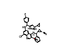 N#Cc1cnc2c(Cl)cc(NC(C3=CN(C4CC4)NN3)c3ccc(F)cc3)cc2c1NC(c1ccccc1)[C@H]1C[C@@H]1C#N